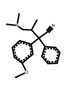 COc1cccc(C(C#N)(c2ccccc2)C(C)CN(C)C)c1